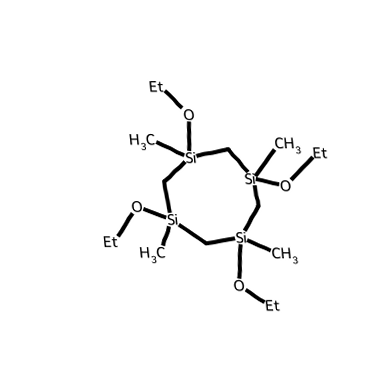 CCO[Si]1(C)C[Si](C)(OCC)C[Si](C)(OCC)C[Si](C)(OCC)C1